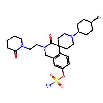 CC(C)[C@H]1CC[C@@H](N2CCC3(CC2)C(=O)N(CCN2CCCCC2=O)Cc2cc(OS(N)(=O)=O)ccc23)CC1